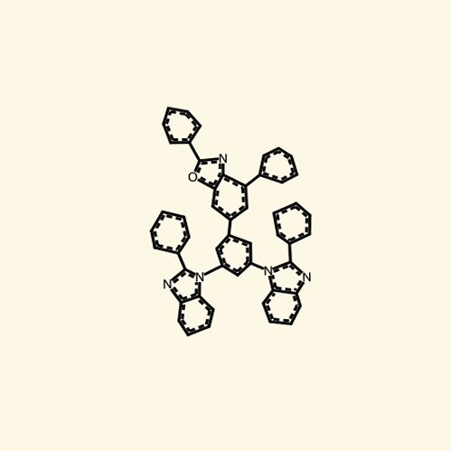 c1ccc(-c2nc3c(-c4ccccc4)cc(-c4cc(-n5c(-c6ccccc6)nc6ccccc65)cc(-n5c(-c6ccccc6)nc6ccccc65)c4)cc3o2)cc1